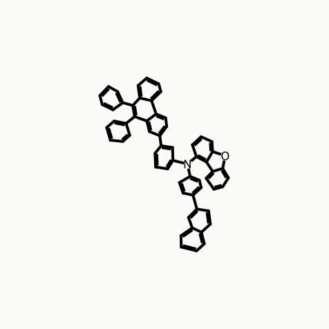 c1ccc(-c2c(-c3ccccc3)c3cc(-c4cccc(N(c5ccc(-c6ccc7ccccc7c6)cc5)c5cccc6oc7ccccc7c56)c4)ccc3c3ccccc23)cc1